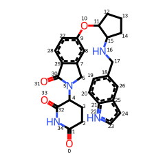 O=C1CCC(N2Cc3cc(OC4CCCC4NCc4ccc5[nH]ccc5c4)ccc3C2=O)C(=O)N1